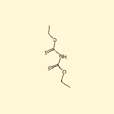 CCOC(=S)NC(=S)OCC